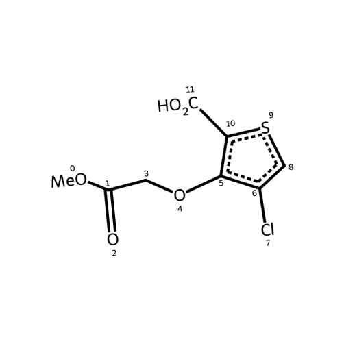 COC(=O)COc1c(Cl)csc1C(=O)O